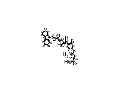 CC(C)(CC(N)Cc1ccc(NC(=O)CNC(=O)OCC2c3ccccc3-c3ccccc32)c(F)c1)C(=O)O